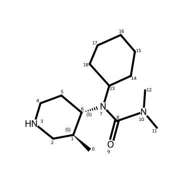 C[C@H]1CNCC[C@@H]1N(C(=O)N(C)C)C1CCCCC1